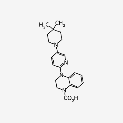 CC1(C)CCN(c2ccc(N3CCN(C(=O)O)c4ccccc43)nc2)CC1